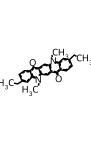 CCc1ccc2c(=O)c3cc4c(cc3n(CC)c2c1)c(=O)c1ccc(CC)cc1n4CC